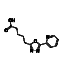 O=C(O)CCCCc1nnc(-c2ccccn2)o1